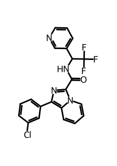 O=C(NC(c1cccnc1)C(F)(F)F)c1nc(-c2cccc(Cl)c2)c2ccccn12